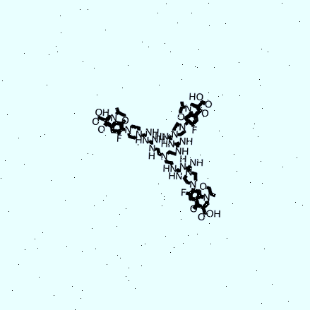 CC1COc2c(N3CCN(C(=N)NC(=N)NCCN(CCNC(=N)NC(=N)N4CCN(c5c(F)cc6c(=O)c(C(=O)O)cn7c6c5OCC7C)CC4)CCNC(=N)NC(=N)N4CCN(c5c(F)cc6c(=O)c(C(=O)O)cn7c6c5OCC7C)CC4)CC3)c(F)cc3c(=O)c(C(=O)O)cn1c23